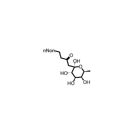 CCCCCCCCCCCC(=O)C[C@@]1(O)O[C@@H](C)[C@@H](O)[C@@H](O)[C@@H]1O